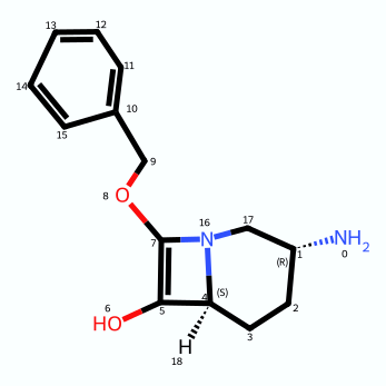 N[C@@H]1CC[C@H]2C(O)=C(OCc3ccccc3)N2C1